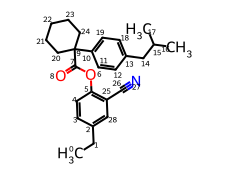 CCc1ccc(OC(=O)C2(c3ccc(CC(C)C)cc3)CCCCC2)c(C#N)c1